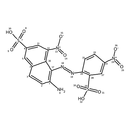 Nc1ccc2cc(S(=O)(=O)O)cc([N+](=O)[O-])c2c1N=Nc1ccc([N+](=O)[O-])cc1S(=O)(=O)O